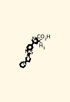 Cc1cc(-c2ccc3nc(N4CCC(N5CCCCC5)C4)sc3c2)cnc1C(=O)O